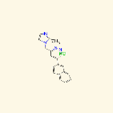 Cc1nccn1Cc1cc(-c2ccc3ccccc3c2)cnn1.Cl